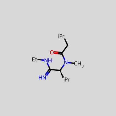 CCNC(=N)[C@H](C(C)C)N(C)C(=O)CC(C)C